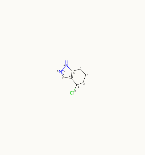 ClC1CCCC2=C1C=[N+]N2